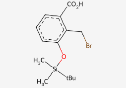 CC(C)(C)[Si](C)(C)Oc1cccc(C(=O)O)c1CBr